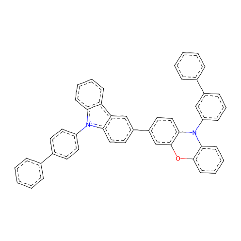 c1ccc(-c2ccc(-n3c4ccccc4c4cc(-c5ccc6c(c5)Oc5ccccc5N6c5cccc(-c6ccccc6)c5)ccc43)cc2)cc1